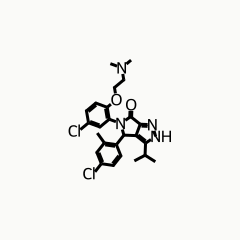 Cc1cc(Cl)ccc1C1c2c(n[nH]c2C(C)C)C(=O)N1c1cc(Cl)ccc1OCCN(C)C